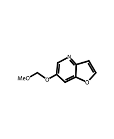 COCOc1cnc2ccoc2c1